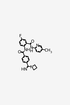 Cc1ccc(NC(=O)c2cc(F)ccc2NC(=O)c2ccc(C(=N)N3CCC3)cc2)nc1